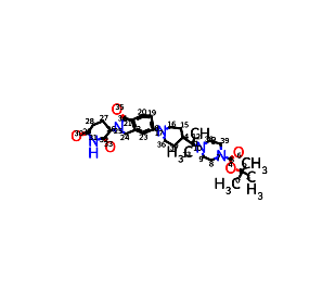 CC(C)(C)OC(=O)N1CCN(C(C)(C)C2CCN(c3ccc4c(c3)CN(C3CCC(=O)NC3=O)C4=O)CC2)CC1